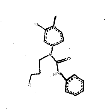 Cc1ccc(N(CCCCl)C(=O)Nc2ccccc2)cc1Cl